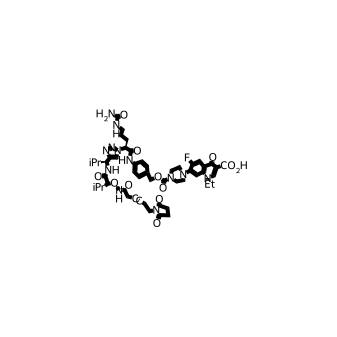 CCn1cc(C(=O)O)c(=O)c2cc(F)c(N3CCN(C(=O)OCc4ccc(NC(=O)[C@H](CCCNC(N)=O)n5cc([C@@H](NC(=O)C(ONC(=O)CCCCCN6C(=O)CCC6=O)C(C)C)C(C)C)nn5)cc4)CC3)cc21